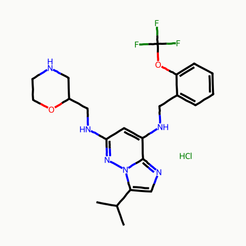 CC(C)c1cnc2c(NCc3ccccc3OC(F)(F)F)cc(NCC3CNCCO3)nn12.Cl